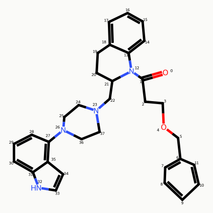 O=C(CCOCc1ccccc1)N1c2ccccc2CCC1CN1CCN(c2cccc3[nH]ccc23)CC1